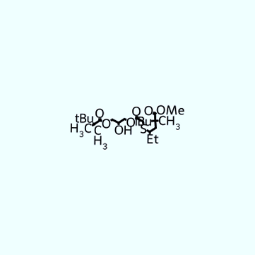 CCC(CC(C)(C(=O)OC)C(C)CC)SCC(=O)OCC(O)COC(=O)C(C)(C)C(C)(C)C